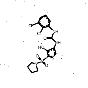 O=C(Nc1csc(S(=O)(=O)N2CCCC2)c1O)Nc1cccc(Cl)c1Cl